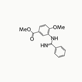 COC(=O)c1ccc(OC)c(NC(=N)c2ccccc2)c1